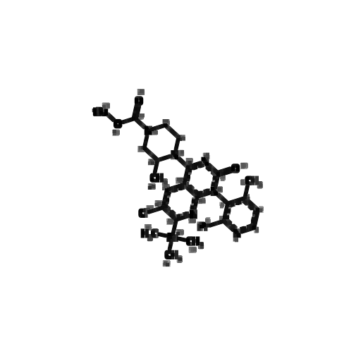 Cc1ccnc(C(C)C)c1-n1c(=O)nc(N2CCN(C(=O)OC(C)(C)C)CC2C)c2cc(Cl)[c]([Sn]([CH3])([CH3])[CH3])nc21